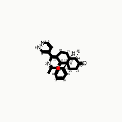 Cc1nc(-c2ccnnc2)c2c(n1)[C@@]1(c3ccccc3)CCC(=O)[C@@H](C)[C@@H]1CC2